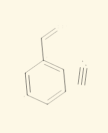 C#N.O=Cc1ccccc1